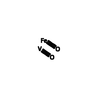 [O]=[Fe].[O]=[V]